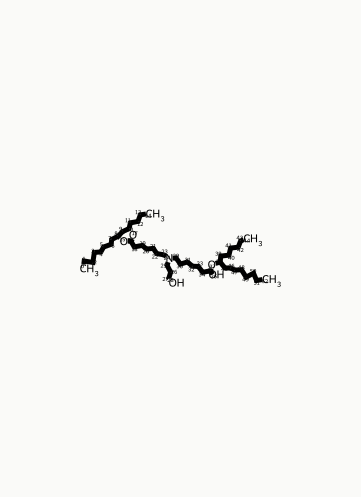 CCCCCCCCC(CCCCCC)OC(=O)CCCCCCN(CCCO)CCCCCCC(O)OC(CCCCCC)CCCCCCCC